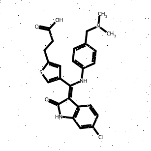 CN(C)Cc1ccc(NC(=C2C(=O)Nc3cc(Cl)ccc32)c2csc(CCC(=O)O)c2)cc1